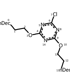 CCCCCCCCCCCCOc1nc(Cl)nc(OCCCCCCCCCCCC)n1